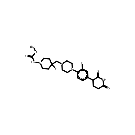 CC(C)(C)OC(=O)NN1CCC(F)(CN2CCN(c3ccc(C4CCC(=O)NC4=O)cc3F)CC2)CC1